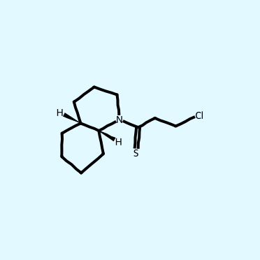 S=C(CCCl)N1CCC[C@H]2CCCC[C@H]21